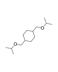 CC(C)OCC1CCC(COC(C)C)CC1